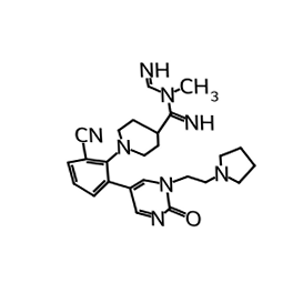 CN(C=N)C(=N)C1CCN(c2c(C#N)cccc2-c2cnc(=O)n(CCN3CCCC3)c2)CC1